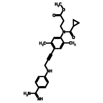 COC(=O)CCN(C(=O)C1CC1)c1cc(C)c(C#CCNc2ccc(C(=N)N)cc2)cc1C